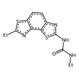 CCNC(=O)Nc1nc2ccc3sc(CC)nc3c2s1